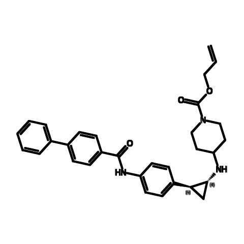 C=CCOC(=O)N1CCC(N[C@@H]2C[C@H]2c2ccc(NC(=O)c3ccc(-c4ccccc4)cc3)cc2)CC1